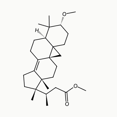 COC(=O)C[C@@H](C)[C@]1(C)CCC2=C3CC[C@H]4C(C)(C)[C@H](OC)CCC45C[C@@]35CC[C@@]21C